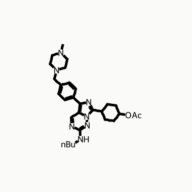 CCCCNc1ncc2c(-c3ccc(CN4CCN(C)CC4)cc3)nc(C3CCC(OC(C)=O)CC3)n2n1